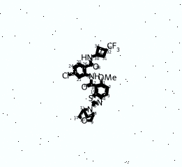 COc1ccc2nc(N3C4COCC3C4)sc2c1C(=O)Nc1cc(Cl)ccc1C(=O)NC12CC(C(F)(F)F)(C1)C2